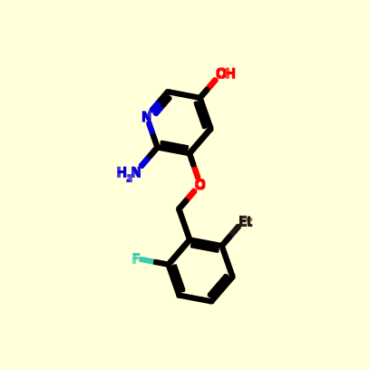 CCc1cccc(F)c1COc1cc(O)cnc1N